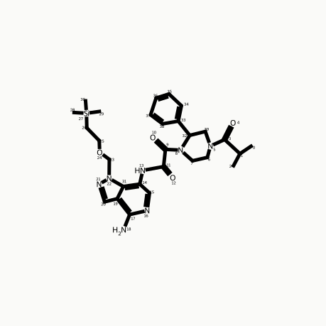 CC(C)C(=O)N1CCN(C(=O)C(=O)Nc2cnc(N)c3cnn(COCC[Si](C)(C)C)c23)C(c2ccccc2)C1